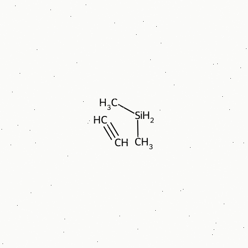 C#C.C[SiH2]C